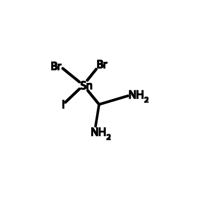 N[CH](N)[Sn]([Br])([Br])[I]